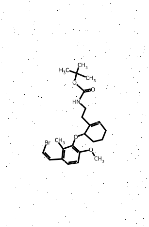 COc1ccc(/C=C\Br)c(C)c1OC1CCCC=C1CCNC(=O)OC(C)(C)C